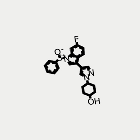 [O-][S+](c1ccccc1)n1cc(-c2cnn(C3CCC(O)CC3)c2)c2ccc(F)cc21